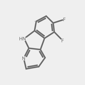 Fc1c[c]c2[nH]c3ncccc3c2c1F